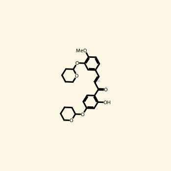 COc1ccc(/C=C/C(=O)c2ccc(OC3CCCCO3)cc2O)cc1OC1CCCCO1